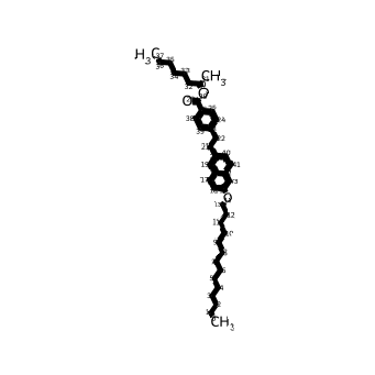 CCCCCCCCCCCCCCOc1ccc2cc(CCc3ccc(C(=O)O[C@H](C)CCCCCC)cc3)ccc2c1